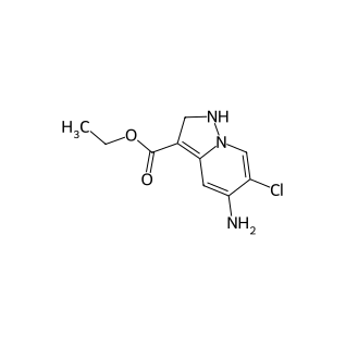 CCOC(=O)C1=C2C=C(N)C(Cl)=CN2NC1